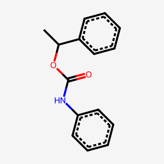 CC(OC(=O)Nc1ccccc1)c1ccccc1